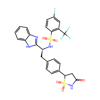 O=C1CC(c2ccc(C[C@H](NS(=O)(=O)c3ccc(F)cc3C(F)(F)F)c3nc4ccccc4[nH]3)cc2)S(=O)(=O)N1